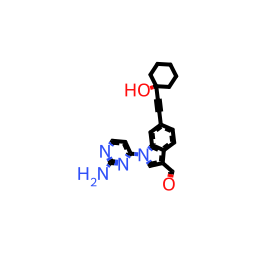 Nc1nccc(-n2cc(C=O)c3ccc(C#CC4(O)CCCCC4)cc32)n1